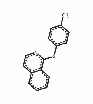 Cc1ccc(Sc2nccc3ccccc23)cc1